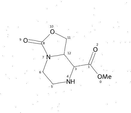 COC(=O)C1NCCN2C(=O)OCC12